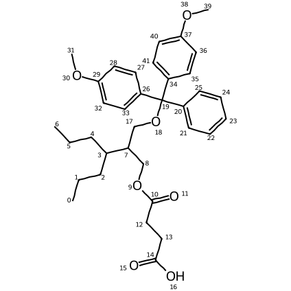 CCCC(CCC)C(COC(=O)CCC(=O)O)COC(c1ccccc1)(c1ccc(OC)cc1)c1ccc(OC)cc1